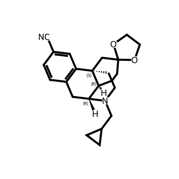 N#Cc1ccc2c(c1)[C@]13CCN(CC4CC4)[C@H](C2)[C@@H]1CCC1(C3)OCCO1